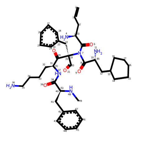 C=CC[C@H](N)C(=O)N(C(=O)[C@H](N)CC1CCCCC1)[C@]([C]=O)(Cc1ccccc1)C(=O)[C@H](CCCCN)NC(=O)[C@H](Cc1ccccc1)NC